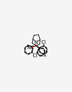 N#CC1(c2ccncc2)CC2CCC(C1)N2C(c1ccccc1Cl)c1ccccc1Cl